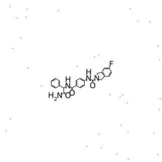 NC(=O)C(NC(=O)c1ccc(NC(=O)N2Cc3ccc(F)cc3C2)cc1)c1ccccc1